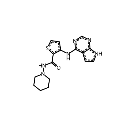 O=C(NN1CCCCC1)c1sccc1Nc1ncnc2[nH]ccc12